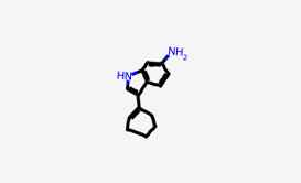 Nc1ccc2c(C3=CCCCC3)c[nH]c2c1